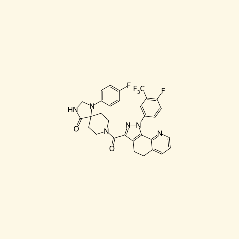 O=C(c1nn(-c2ccc(F)c(C(F)(F)F)c2)c2c1CCc1cccnc1-2)N1CCC2(CC1)C(=O)NCN2c1ccc(F)cc1